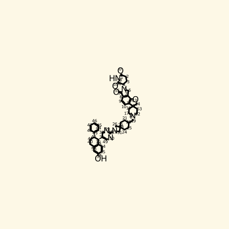 O=C1CC[C@H](N2Cc3c(ccc4c3OCC43CCN(CC4CCC5(CC4)CN(c4ncc([C@H]6c7ccc(O)cc7CC[C@H]6c6ccccc6)cn4)C5)CC3)C2=O)C(=O)N1